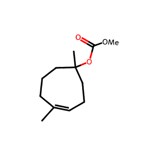 COC(=O)OC1(C)CC/C=C(/C)CCC1